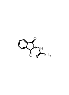 NC(=S)NN1C(=O)c2ccccc2C1=O